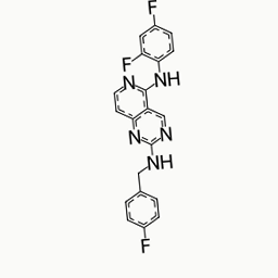 Fc1ccc(CNc2ncc3c(Nc4ccc(F)cc4F)nccc3n2)cc1